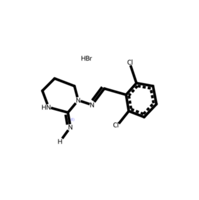 Br.[H]/N=C1\NCCCN1N=Cc1c(Cl)cccc1Cl